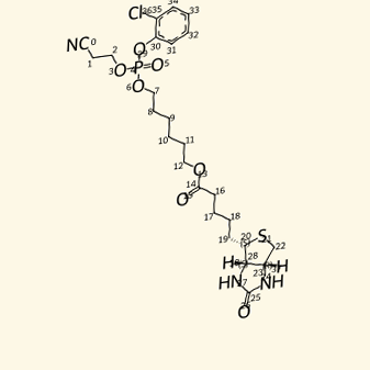 N#CCCOP(=O)(OCCCCCCOC(=O)CCCC[C@@H]1SC[C@@H]2NC(=O)N[C@@H]21)Oc1ccccc1Cl